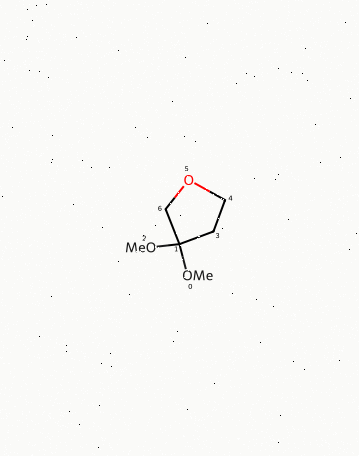 COC1(OC)CCOC1